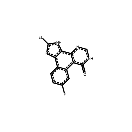 CCc1nc2c3ccc(F)cc3c3c(=O)[nH]cnc3c2[nH]1